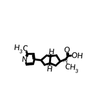 Cc1cc(C2C[C@@H]3CC([C@@H](C)C(=O)O)C[C@@H]3C2)ccn1